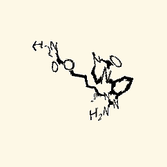 C[C@H](CCCCOC(N)=O)n1c(N)nc2cccc(N3CCN(C)C3=O)c21